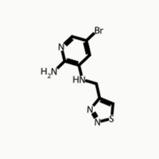 Nc1ncc(Br)cc1NCc1csnn1